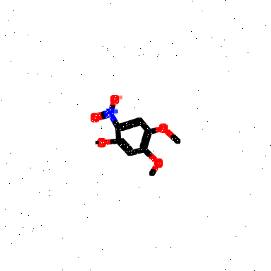 COc1cc([O])c([N+](=O)[O-])cc1OC